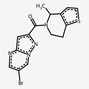 CC1c2ccsc2CCN1C(=O)c1cc2ncc(Br)cn2n1